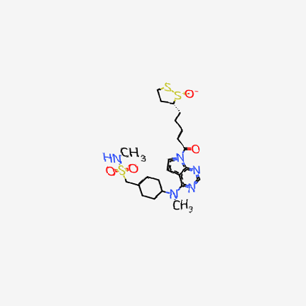 CNS(=O)(=O)CC1CCC(N(C)c2ncnc3c2ccn3C(=O)CCCC[C@@H]2CCS[S+]2[O-])CC1